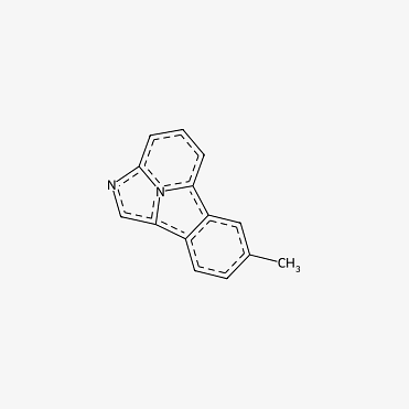 Cc1ccc2c(c1)c1cccc3ncc2n31